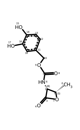 C[C@@H]1OC(=O)[C@@H]1NC(=O)OCc1ccc(O)c(O)c1